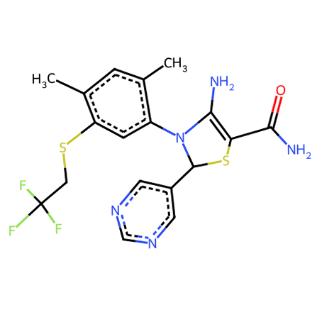 Cc1cc(C)c(N2C(N)=C(C(N)=O)SC2c2cncnc2)cc1SCC(F)(F)F